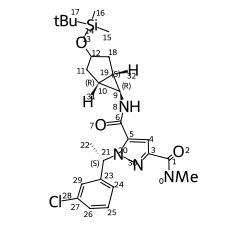 CNC(=O)c1cc(C(=O)N[C@H]2[C@@H]3CC(O[Si](C)(C)C(C)(C)C)C[C@@H]32)n([C@@H](C)c2cccc(Cl)c2)n1